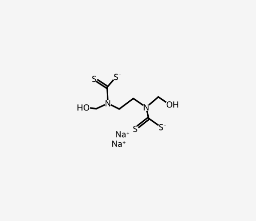 OCN(CCN(CO)C(=S)[S-])C(=S)[S-].[Na+].[Na+]